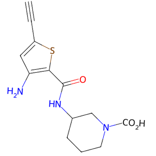 C#Cc1cc(N)c(C(=O)NC2CCCN(C(=O)O)C2)s1